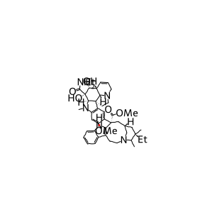 CC[C@]1(C)C[C@@H]2CN(CCc3c([nH]c4ccccc34)[C@@](C(=O)OC)(c3cc4c(cc3OC)N(C)[C@H]3[C@@](O)(C(N)=O)[C@H](O)[C@]5(CC)C=CCN6CC[C@]43[C@@H]65)C2)C1C